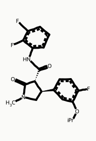 CC(C)Oc1cc([C@H]2CN(C)C(=O)[C@@H]2C(=O)Nc2cccc(F)c2F)ccc1F